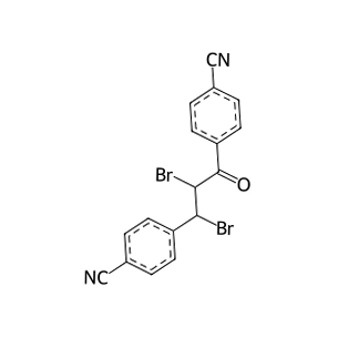 N#Cc1ccc(C(=O)C(Br)C(Br)c2ccc(C#N)cc2)cc1